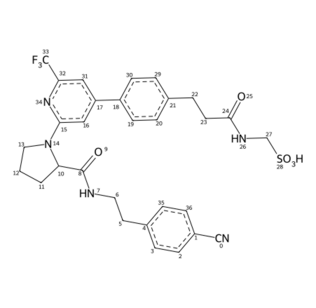 N#Cc1ccc(CCNC(=O)C2CCCN2c2cc(-c3ccc(CCC(=O)NCS(=O)(=O)O)cc3)cc(C(F)(F)F)n2)cc1